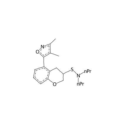 CCCN(CCC)SC1COc2cccc(-c3onc(C)c3C)c2C1